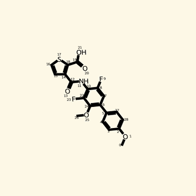 COc1ccc(-c2cc(F)c(NC(=O)c3ccsc3C(=O)O)c(F)c2OC)cc1